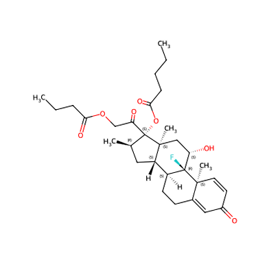 CCCCC(=O)O[C@@]1(C(=O)COC(=O)CCC)[C@H](C)C[C@H]2[C@@H]3CCC4=CC(=O)C=C[C@]4(C)[C@@]3(F)[C@@H](O)C[C@@]21C